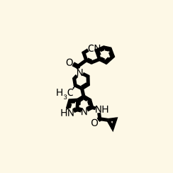 C[C@@H]1CN(C(=O)C(=Cc2ccccc2)CC#N)CC=C1c1cc(NC(=O)C2CC2)nc2[nH]ccc12